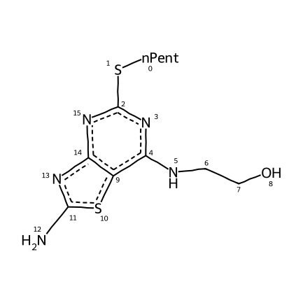 CCCCCSc1nc(NCCO)c2sc(N)nc2n1